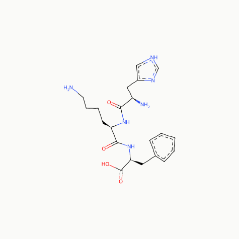 NCCCC[C@@H](NC(=O)[C@H](N)Cc1c[nH]cn1)C(=O)N[C@@H](Cc1ccccc1)C(=O)O